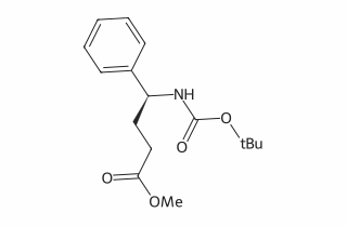 COC(=O)CC[C@H](NC(=O)OC(C)(C)C)c1ccccc1